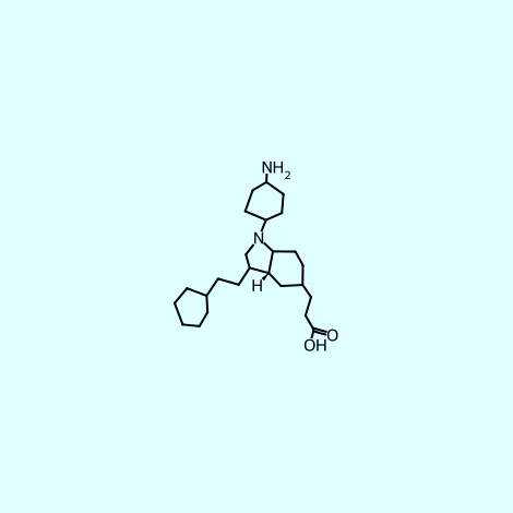 NC1CCC(N2CC(CCC3CCCCC3)[C@H]3CC(CCC(=O)O)CCC32)CC1